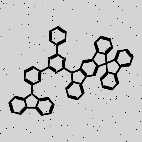 c1ccc(-c2nc(-c3cccc(-n4c5ccccc5c5ccccc54)c3)nc(-n3c4ccccc4c4cc5c(cc43)-c3ccccc3C53c4ccccc4-c4ccccc43)n2)cc1